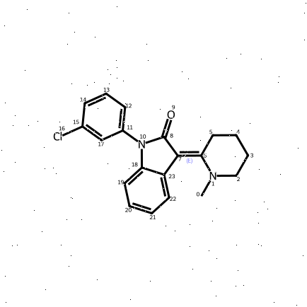 CN1CCCC/C1=C1\C(=O)N(c2cccc(Cl)c2)c2ccccc21